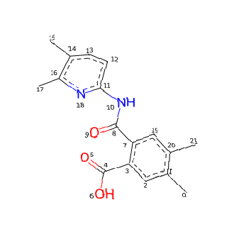 Cc1cc(C(=O)O)c(C(=O)Nc2ccc(C)c(C)n2)cc1C